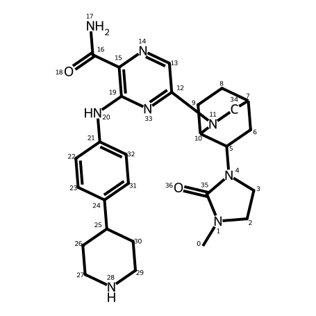 CN1CCN(C2CC3CCC2N(c2cnc(C(N)=O)c(Nc4ccc(C5CCNCC5)cc4)n2)C3)C1=O